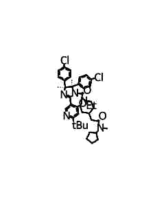 CCOc1cc(C(C)(C)C)ncc1C1=N[C@@](C)(c2ccc(Cl)cc2)[C@@](C)(c2ccc(Cl)cc2)N1C(=O)N1CCC(CC(=O)N(C)C2CCCC2)CC1